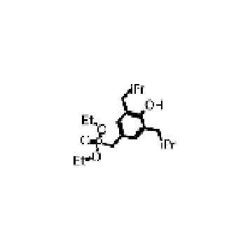 CCOP(=O)(Cc1cc(CC(C)C)c(O)c(CC(C)C)c1)OCC